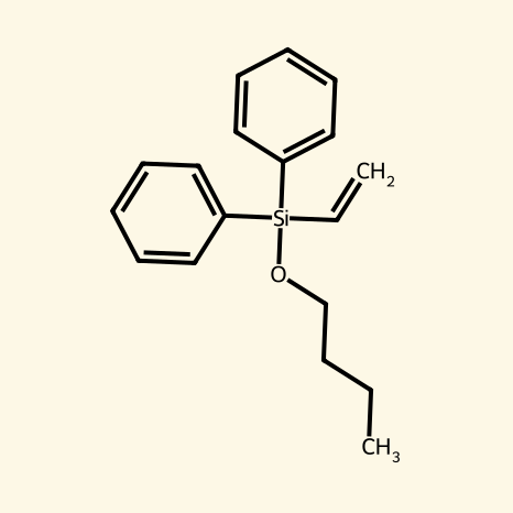 C=C[Si](OCCCC)(c1ccccc1)c1ccccc1